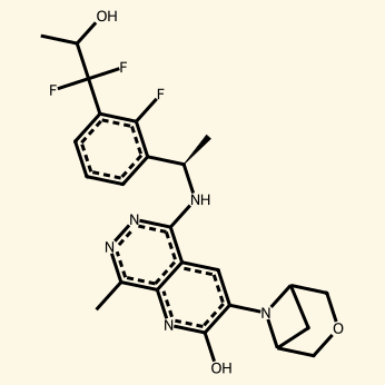 Cc1nnc(N[C@H](C)c2cccc(C(F)(F)C(C)O)c2F)c2cc(N3C4COCC3C4)c(O)nc12